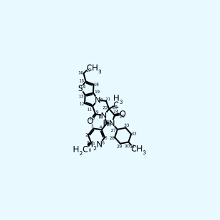 C=C/C=C\C(=C/N)CN1C(=O)c2cc3sc(CC)cc3n2CC1(C)C(=O)NC1CCC(C)CC1